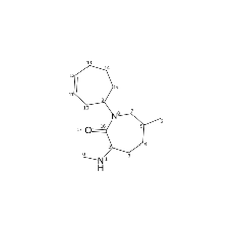 CNC1CCC(C)CN(C2CC=CCCC2)C1=O